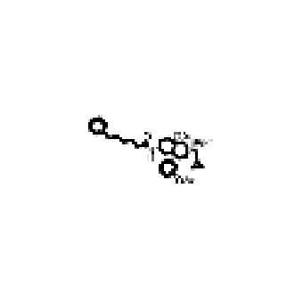 CC(=O)Oc1cccc([C@]23CC[N@+](CC(C)C)(CC4CC4)CC2(OC(C)=O)CC[C@@H](NC(=O)CCCCCc2ccccc2)C3)c1